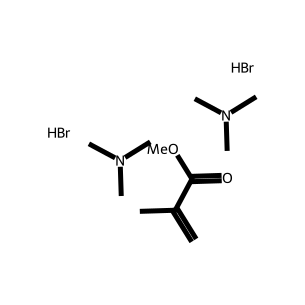 Br.Br.C=C(C)C(=O)OC.CN(C)C.CN(C)C